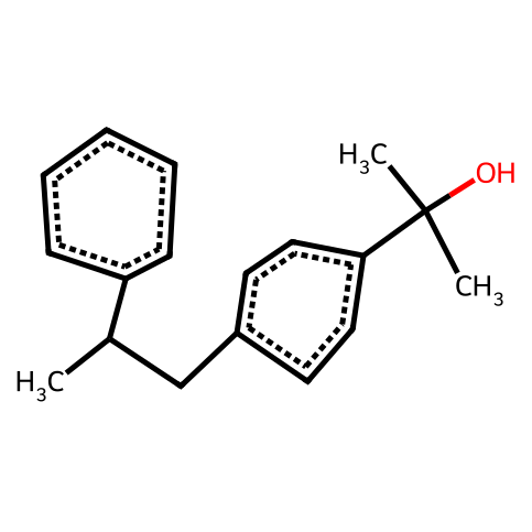 CC(Cc1ccc(C(C)(C)O)cc1)c1ccccc1